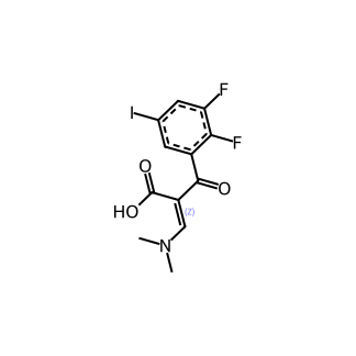 CN(C)/C=C(\C(=O)O)C(=O)c1cc(I)cc(F)c1F